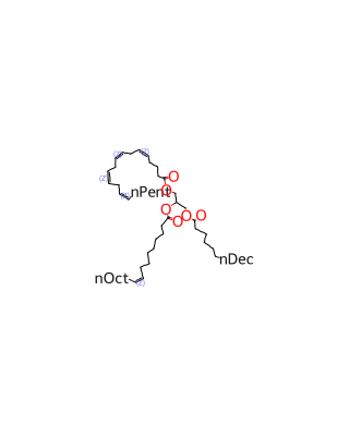 CCCCC/C=C\C/C=C\C/C=C\C/C=C\CCCC(=O)OCC(COC(=O)CCCCCCCCCCCCCCC)OC(=O)CCCCCCC/C=C\CCCCCCCC